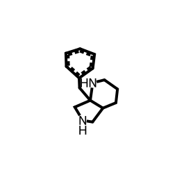 c1ccc(CC23CNCC2CCCN3)cc1